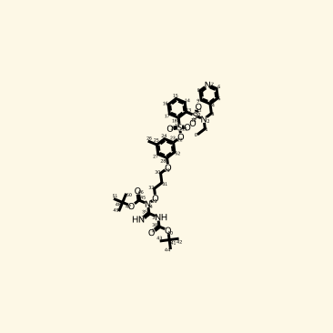 CCN(Cc1ccncc1)S(=O)(=O)c1ccccc1S(=O)(=O)Oc1cc(C)cc(OCCCON(C(=N)NC(=O)OC(C)(C)C)C(=O)OC(C)(C)C)c1